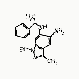 CCn1nc(C)c2cc(N)c(N[C@@H](C)c3ccccc3)cc21